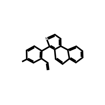 C=Cc1cc(C)ccc1-c1nccc2c1ccc1ccccc12